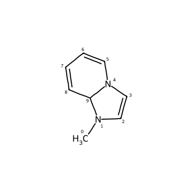 CN1C=CN2C=CC=CC12